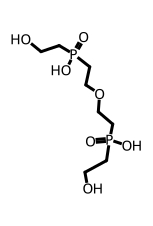 O=P(O)(CCO)CCOCCP(=O)(O)CCO